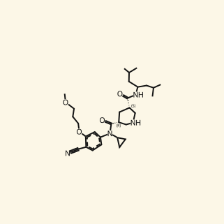 COCCCOc1cc(N(C(=O)[C@H]2CNC[C@@H](C(=O)NC(CC(C)C)CC(C)C)C2)C2CC2)ccc1C#N